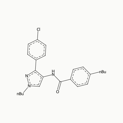 CCCCc1ccc(C(=O)Nc2cn(CCCC)nc2-c2ccc(Cl)cc2)cc1